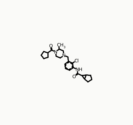 CC1CN(Cc2cccc(NC(=O)C3C4CCCC43)c2Cl)CCN1C(=O)C1CCCC1